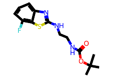 CC(C)(C)OC(=O)NCCNc1nc2cccc(F)c2s1